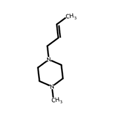 C/C=C/CN1CCN(C)CC1